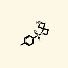 O=S(=O)(c1ccc(F)cc1)N1CCC12CNC2